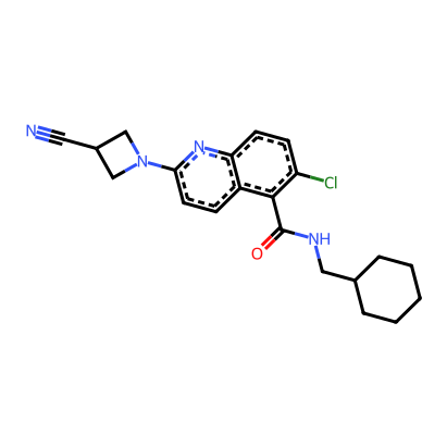 N#CC1CN(c2ccc3c(C(=O)NCC4CCCCC4)c(Cl)ccc3n2)C1